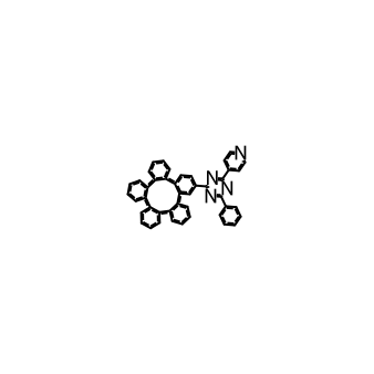 c1ccc(-c2nc(-c3ccncc3)nc(-c3ccc4c5ccccc5c5ccccc5c5ccccc5c5ccccc5c4c3)n2)cc1